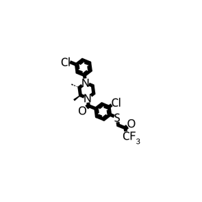 C[C@H]1[C@H](C)N(c2cccc(Cl)c2)CCN1C(=O)c1ccc(SCC(=O)C(F)(F)F)c(Cl)c1